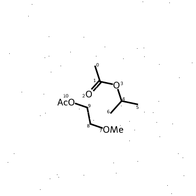 CC(=O)OC(C)C.COCCOC(C)=O